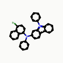 Brc1ccc(N(c2ccccc2)c2ccc3c4ccccc4n(-c4ccccc4)c3c2)c2ccccc12